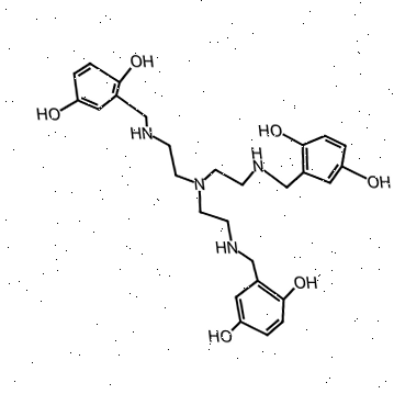 Oc1ccc(O)c(CNCCN(CCNCc2cc(O)ccc2O)CCNCc2cc(O)ccc2O)c1